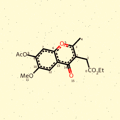 CCOC(=O)Cc1c(C)oc2cc(OC(C)=O)c(OC)cc2c1=O